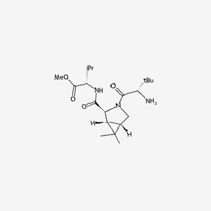 COC(=O)[C@@H](NC(=O)[C@@H]1[C@@H]2[C@H](CN1C(=O)[C@@H](N)C(C)(C)C)C2(C)C)C(C)C